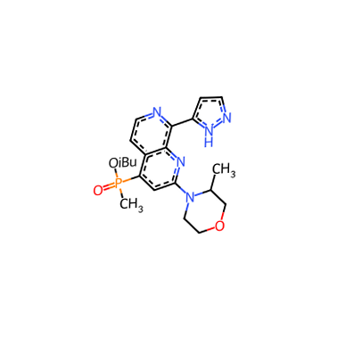 CC(C)COP(C)(=O)c1cc(N2CCOCC2C)nc2c(-c3ccn[nH]3)nccc12